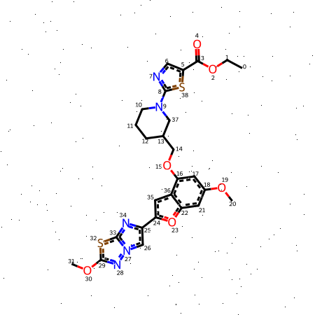 CCOC(=O)c1cnc(N2CCCC(COc3cc(OC)cc4oc(-c5cn6nc(OC)sc6n5)cc34)C2)s1